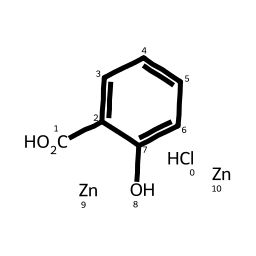 Cl.O=C(O)c1ccccc1O.[Zn].[Zn]